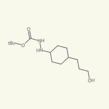 CC(C)(C)OC(=O)NNC1CCC(CCCO)CC1